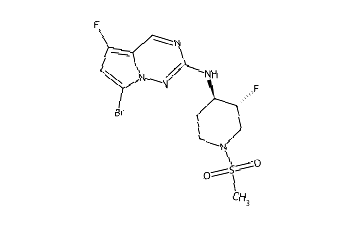 CS(=O)(=O)N1CC[C@@H](Nc2ncc3c(F)cc(Br)n3n2)[C@H](F)C1